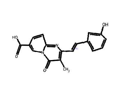 Cc1c(/C=C/c2cccc(O)c2)nc2ccc(C(=O)O)cn2c1=O